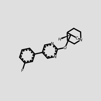 Fc1cccc(-c2cnc(O[C@H]3CN4CCC3CC4)nc2)c1